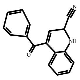 N#CC1C=C(C(=O)c2ccccc2)c2ccccc2N1